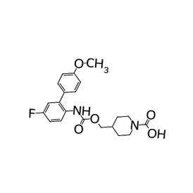 COc1ccc(-c2cc(F)ccc2NC(=O)OCC2CCN(C(=O)O)CC2)cc1